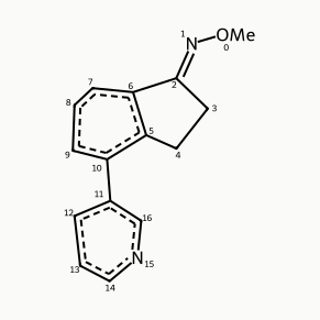 CO/N=C1\CCc2c1cccc2-c1cccnc1